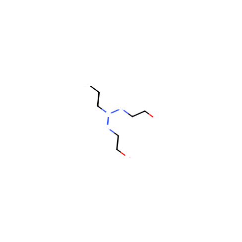 CCCN(NCCO)NCCO